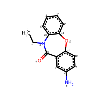 CCN1C(=O)c2cc(N)ccc2Oc2ccccc21